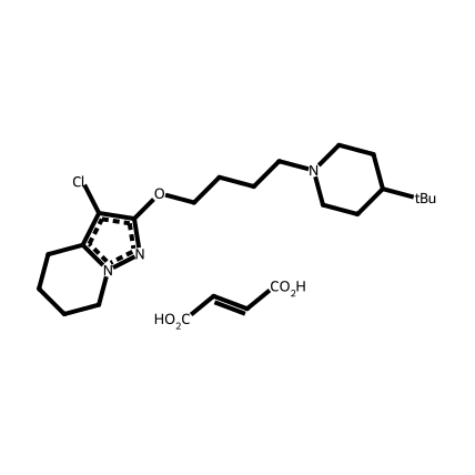 CC(C)(C)C1CCN(CCCCOc2nn3c(c2Cl)CCCC3)CC1.O=C(O)C=CC(=O)O